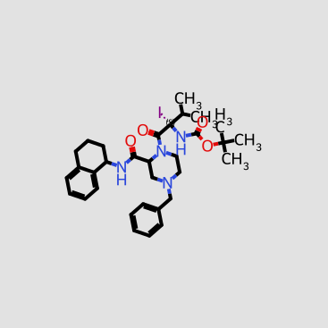 CC(C)[C@@](I)(NC(=O)OC(C)(C)C)C(=O)N1CCN(Cc2ccccc2)CC1C(=O)NC1CCCc2ccccc21